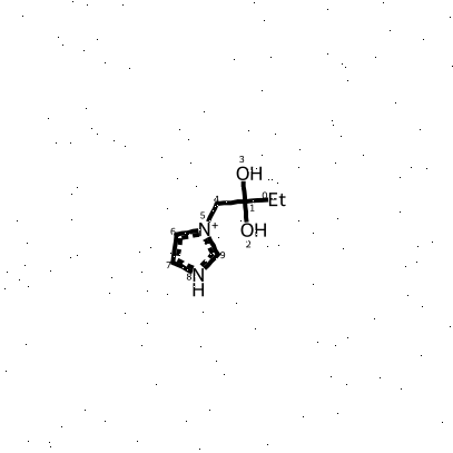 CCC(O)(O)C[n+]1cc[nH]c1